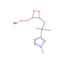 Cn1cc(C(C)(C)CC2OCC2COC(C)(C)C)cn1